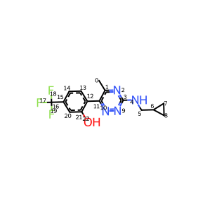 Cc1nc(NCC2CC2)nnc1-c1ccc(C(F)(F)F)cc1O